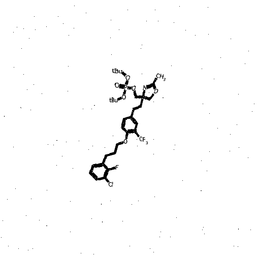 CC1=NC(CCc2ccc(OCCCc3cccc(Cl)c3F)c(C(F)(F)F)c2)(COP(=O)(OC(C)(C)C)OC(C)(C)C)CO1